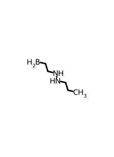 BCCNNCCC